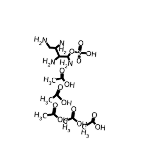 CC(=O)O.CC(=O)O.CC(=O)O.CC(=O)O.CC(=O)O.NCC(N)C(N)C(N)OS(=O)(=O)O